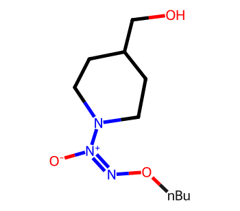 CCCCO/N=[N+](/[O-])N1CCC(CO)CC1